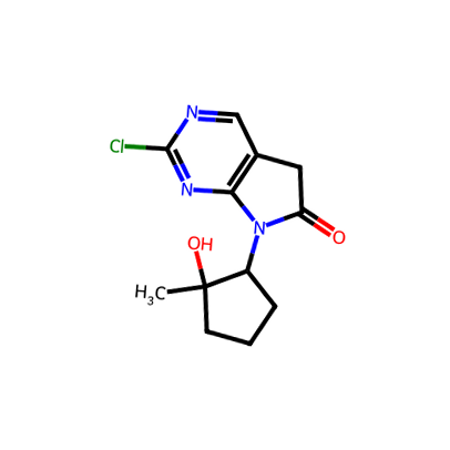 CC1(O)CCCC1N1C(=O)Cc2cnc(Cl)nc21